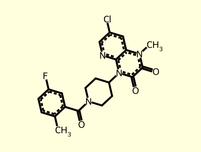 Cc1ccc(F)cc1C(=O)N1CCC(n2c(=O)c(=O)n(C)c3cc(Cl)cnc32)CC1